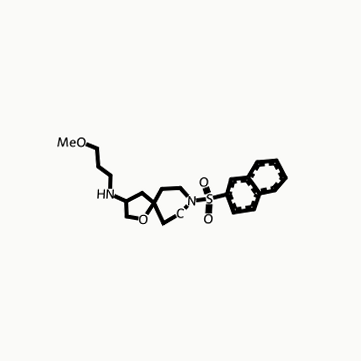 COCCCNC1COC2(CCN(S(=O)(=O)c3ccc4ccccc4c3)CC2)C1